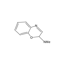 CNC1C=Nc2ccccc2O1